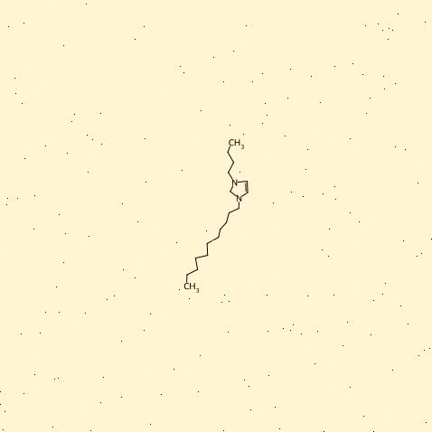 CCCCCCCCCCCN1C=CN(CCCC)C1